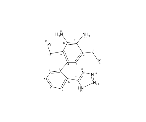 CC(C)Cc1cc(-c2ccccc2-c2nnn[nH]2)c(CC(C)C)c(N)c1N